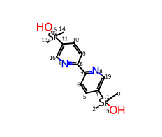 C[Si](C)(O)c1ccc(-c2ccc([Si](C)(C)O)cn2)nc1